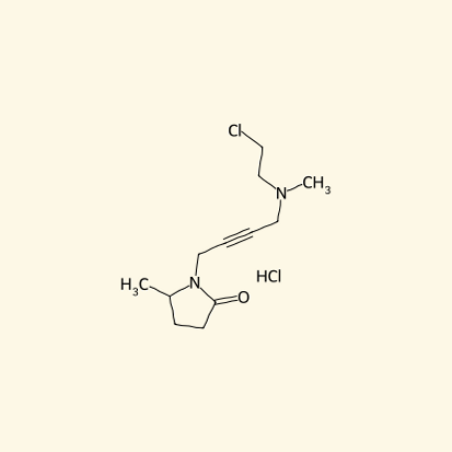 CC1CCC(=O)N1CC#CCN(C)CCCl.Cl